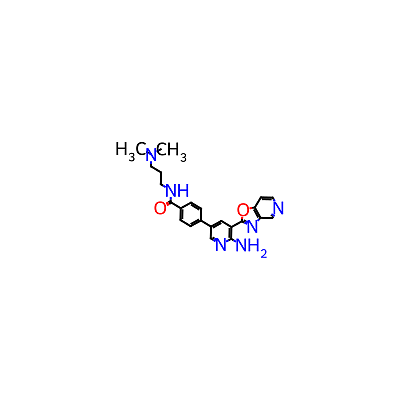 CN(C)CCCNC(=O)c1ccc(-c2cnc(N)c(-c3nc4cnccc4o3)c2)cc1